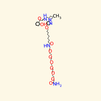 C[C@H]1C[C@H](CN/C=C/C(=O)c2ccccc2O)N(c2ccc(OCCCCCCCCC(=O)NCCOCCOCCOCCOCCOCCOCC(N)=O)cn2)C1